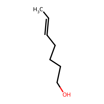 CC=CCCCCO